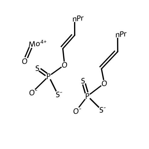 CCCC=COP([O-])(=S)[S-].CCCC=COP([O-])(=S)[S-].[O]=[Mo+4]